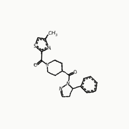 Cc1csc(C(=O)N2CCC(C(=O)N3N=CCC3c3ccccc3)CC2)n1